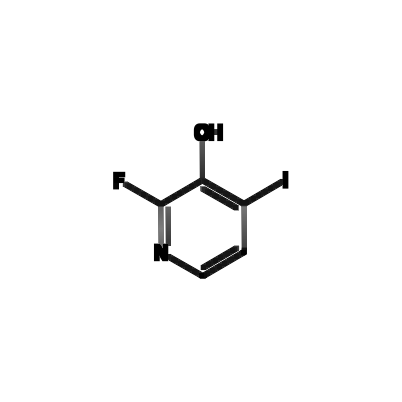 Oc1c(I)ccnc1F